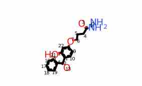 NNC(=O)CCCOc1ccc(C(=O)c2ccccc2)c(O)c1